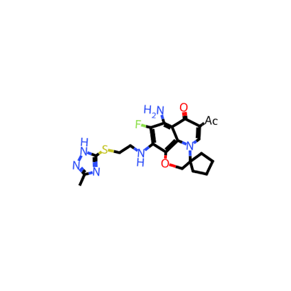 CC(=O)c1cn2c3c(c(NCCSc4nc(C)n[nH]4)c(F)c(N)c3c1=O)OCC21CCCC1